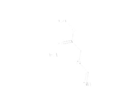 CC(C)(C)OC(=O)CNC=N.Cl